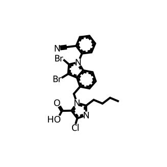 CCCCc1nc(Cl)c(C(=O)O)n1Cc1cccc2c1c(Br)c(Br)n2-c1ccccc1C#N